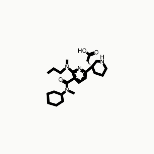 CCCN(C)c1nc([C@]2(CC(=O)O)CCCNC2)ccc1C(=O)N(C)C1CCCCC1